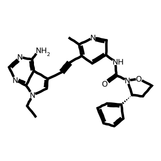 CCn1cc(C#Cc2cc(NC(=O)N3OCC[C@@H]3c3ccccc3)cnc2C)c2c(N)ncnc21